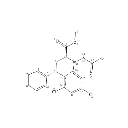 COC(=O)[C@@H]1C[C@@H](c2ccccc2)c2c(Cl)cc(Cl)cc2N1NC(C)=O